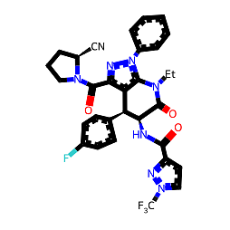 CCN1C(=O)[C@@H](NC(=O)c2ccn(C(F)(F)F)n2)[C@@H](c2ccc(F)cc2)c2c(C(=O)N3CCC[C@H]3C#N)nn(-c3ccccc3)c21